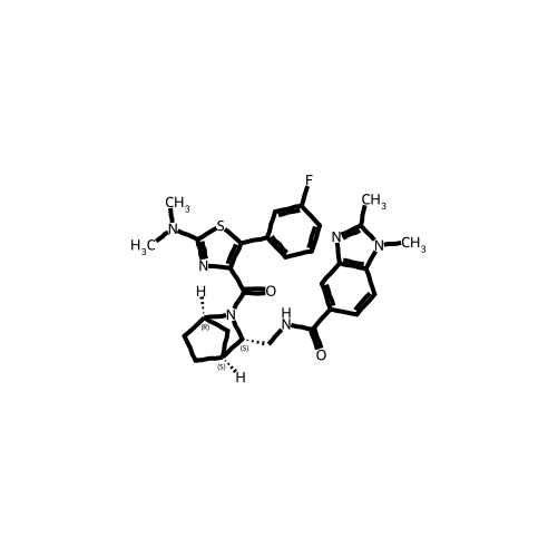 Cc1nc2cc(C(=O)NC[C@@H]3[C@H]4CC[C@H](C4)N3C(=O)c3nc(N(C)C)sc3-c3cccc(F)c3)ccc2n1C